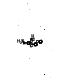 Cl.N[C@@H]1C[C@H]1c1ccc(NC(=O)c2cccc(Oc3ccccc3)c2)cc1